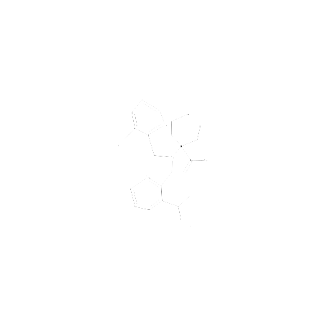 Cc1cccnc1CN(Cc1ncccc1C(C)C)C1(C(N)=O)CC[CH]CC1